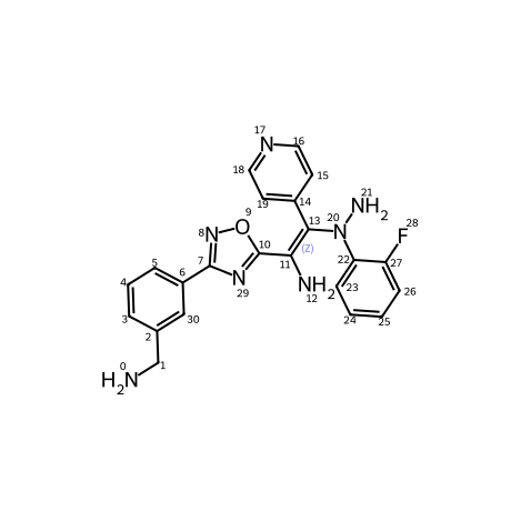 NCc1cccc(-c2noc(/C(N)=C(\c3ccncc3)N(N)c3ccccc3F)n2)c1